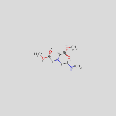 CNCCN(CC(=O)OC)CC(=O)OC